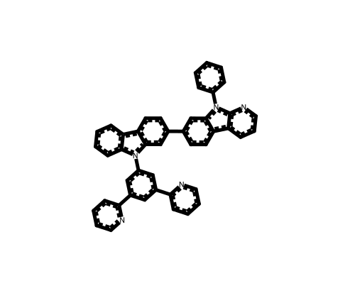 c1ccc(-n2c3cc(-c4ccc5c6ccccc6n(-c6cc(-c7ccccn7)cc(-c7ccccn7)c6)c5c4)ccc3c3cccnc32)cc1